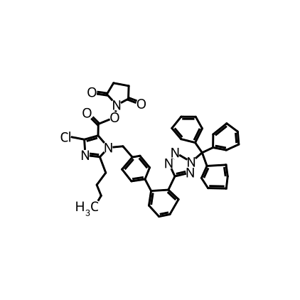 CCCCc1nc(Cl)c(C(=O)ON2C(=O)CCC2=O)n1Cc1ccc(-c2ccccc2-c2nnn(C(c3ccccc3)(c3ccccc3)c3ccccc3)n2)cc1